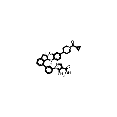 Cc1cc(C2CCN(C(=O)C3CC3)CC2)ccc1NC1CCc2cccc(-c3cccc(-n4ncc(C(=O)O)c4C)c3)c21